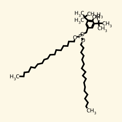 CCCCCCCCCCCCCCCCCCOP(OCCCCCCCCCCCCCCCCCC)OCc1cc(C(C)(C)C)c(O)c(C(C)(C)C)c1